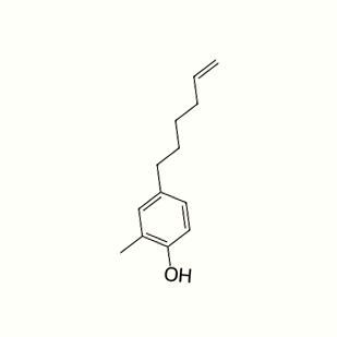 C=CCCCCc1ccc(O)c(C)c1